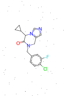 O=C1C(C2CC2)n2cncc2CN1Cc1ccc(Cl)c(F)c1